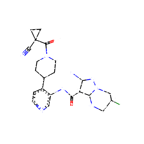 N#CC1(C(=O)N2CCC(c3ccncc3NC(=O)C3C(N)NN4CC(F)CNC34)CC2)CC1